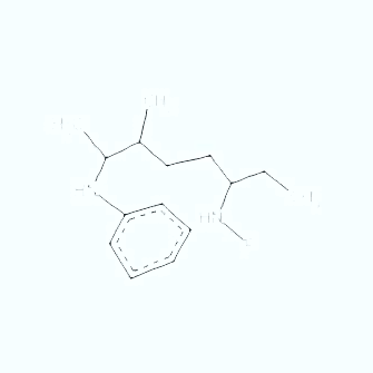 CCC(CCC(C)C(C)Nc1ccccc1)NF